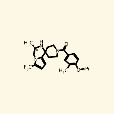 Cc1cc(C(=O)N2CCC3(CC2)N[C@H](C)Cn2c(C(F)(F)F)ccc23)ccc1OC(C)C